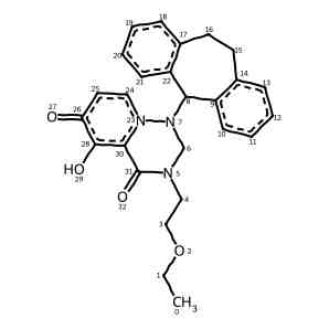 CCOCCN1CN(C2c3ccccc3CCc3ccccc32)n2ccc(=O)c(O)c2C1=O